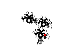 NC1(N)CCCC(CC(=O)[O-])(CC(=O)[O-])C1(CC(=O)[O-])CC(=O)[O-].NC1(N)CCCC(CC(=O)[O-])(CC(=O)[O-])C1(CC(=O)[O-])CC(=O)[O-].NC1(N)CCCC(CC(=O)[O-])(CC(=O)[O-])C1(CC(=O)[O-])CC(=O)[O-].[Fe+3].[Fe+3].[Fe+3].[Fe+3]